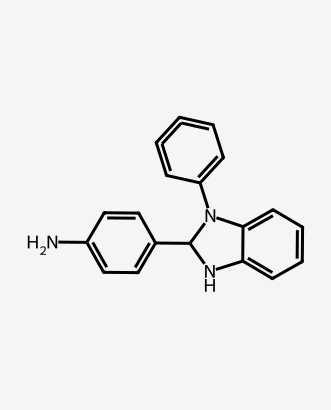 Nc1ccc(C2Nc3ccccc3N2C2=CC=C=C=C2)cc1